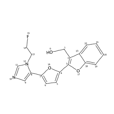 OCc1c(-c2ccc(-c3cncn3CCF)o2)oc2ccccc12